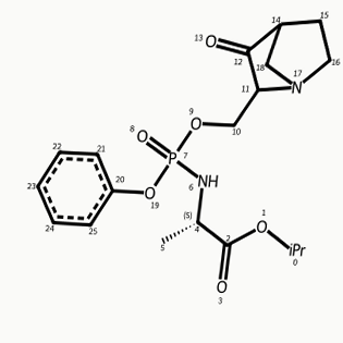 CC(C)OC(=O)[C@H](C)NP(=O)(OCC1C(=O)C2CCN1C2)Oc1ccccc1